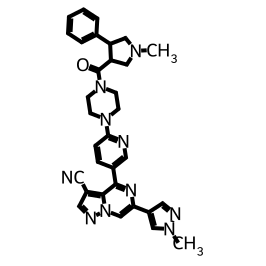 CN1CC(C(=O)N2CCN(c3ccc(-c4nc(-c5cnn(C)c5)cn5ncc(C#N)c45)cn3)CC2)C(c2ccccc2)C1